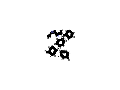 C=C/C=C\C=C(/C)N(c1ccccc1)c1ccc(N(c2ccc(C)cc2)c2ccc(C)cc2)cc1